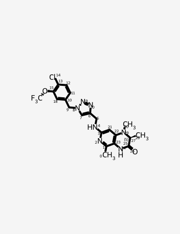 Cc1nc(NCc2cn(Cc3ccc(Cl)c(OC(F)(F)F)c3)nn2)cc2c1NC(=O)[C@H](C)N2C